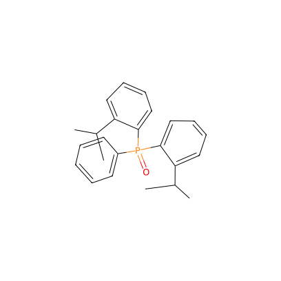 CC(C)c1ccccc1P(=O)(c1ccccc1)c1ccccc1C(C)C